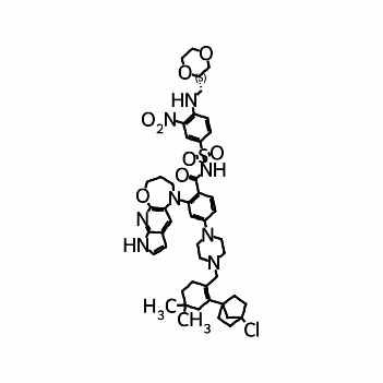 CC1(C)CCC(CN2CCN(c3ccc(C(=O)NS(=O)(=O)c4ccc(NC[C@H]5COCCO5)c([N+](=O)[O-])c4)c(N4CCCOc5nc6[nH]ccc6cc54)c3)CC2)=C(C23CCC(Cl)(CC2)C3)C1